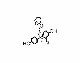 CC(CCCOC1CCCCO1)(c1ccc(O)cc1)c1ccc(O)cc1